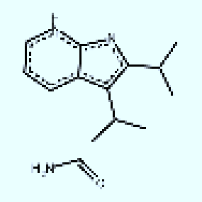 CC(C)c1nc2[nH]cccc-2c1C(C)C.NC=O